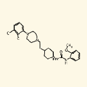 COc1ccccc1NC(=O)NC1CCC(CCN2CCN(c3cccc(Cl)c3Cl)CC2)CC1